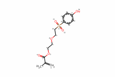 C=C(C)C(=O)OCCOCCS(=O)(=O)c1ccc(O)cc1